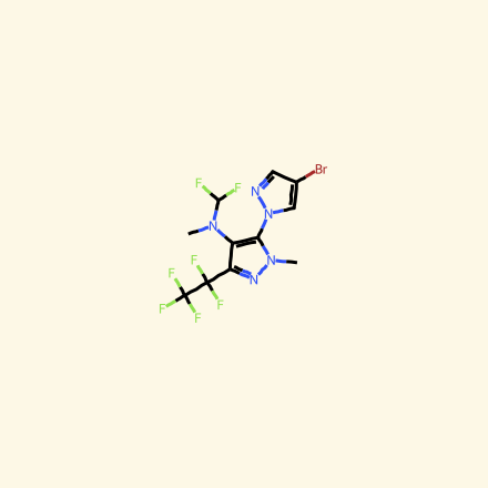 CN(c1c(C(F)(F)C(F)(F)F)nn(C)c1-n1cc(Br)cn1)C(F)F